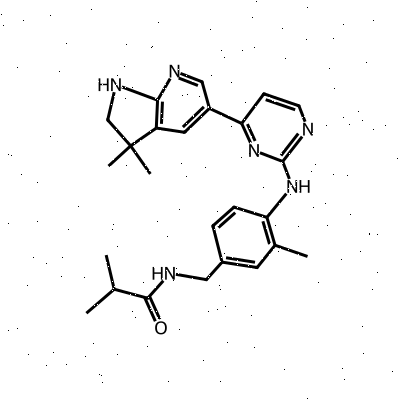 Cc1cc(CNC(=O)C(C)C)ccc1Nc1nccc(-c2cnc3c(c2)C(C)(C)CN3)n1